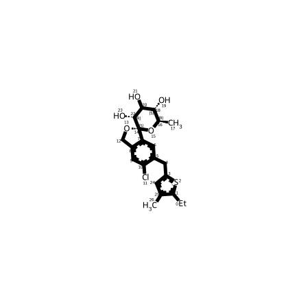 CCc1sc(Cc2cc3c(cc2Cl)CO[C@]32O[C@H](C)[C@@H](O)C(O)[C@H]2O)cc1C